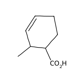 CC1C=CCCC1C(=O)O